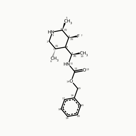 C[C@@H]1CN[C@@H](C)[C@@H](F)C1[C@@H](C)NC(=O)OCc1ccccc1